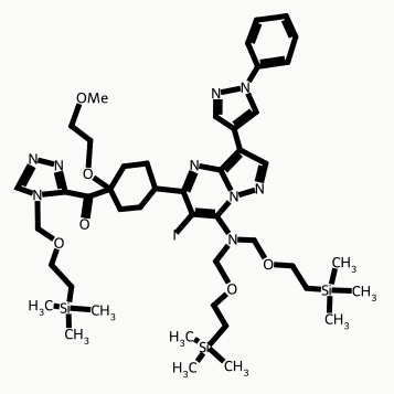 COCCOC1(C(=O)c2nncn2COCC[Si](C)(C)C)CCC(c2nc3c(-c4cnn(-c5ccccc5)c4)cnn3c(N(COCC[Si](C)(C)C)COCC[Si](C)(C)C)c2I)CC1